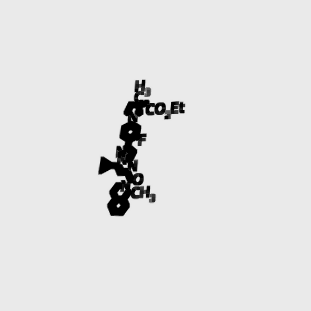 CCOC(=O)CC1(C)CCN(c2ccc(-c3cc4nc(C(=O)N5CCc6ccccc6[C@H]5C)cc(C5CC5)n4n3)c(F)c2)C1